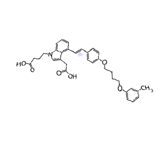 Cc1cccc(OCCCCOc2ccc(/C=C/c3cccc4c3c(CC(=O)O)cn4CCCC(=O)O)cc2)c1